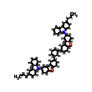 C=CCc1ccc2c(c1)c1ccccc1n2-c1ccc2oc3ccc(-c4cccc(-c5ccc6oc7ccc(-n8c9ccccc9c9cc(CC=C)ccc98)cc7c6c5)c4)cc3c2c1